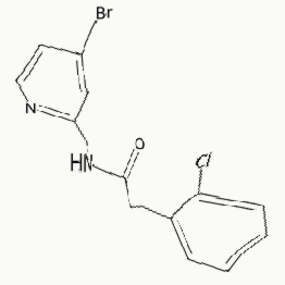 O=C(Cc1ccccc1Cl)Nc1cc(Br)ccn1